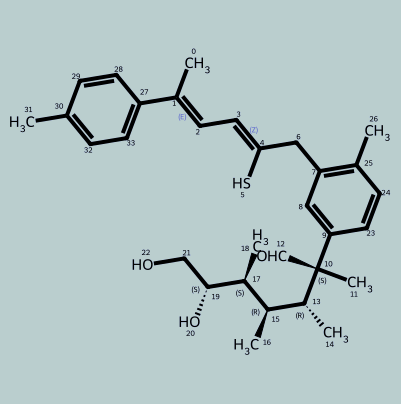 C/C(=C\C=C(/S)Cc1cc([C@@](C)(C=O)[C@H](C)[C@@H](C)[C@H](C)[C@H](O)CO)ccc1C)c1ccc(C)cc1